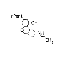 C=CCNC1CCC2COc3cc(CCCCC)cc(O)c3C2C1